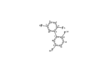 Fc1ccc(F)c(-c2cc(F)ccc2F)c1